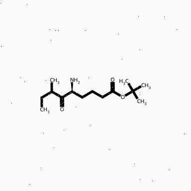 CCC(C)C(=O)[C@@H](N)CCCC(=O)OC(C)(C)C